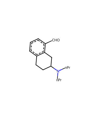 CCCN(CCC)C1CCc2cccc(C=O)c2C1